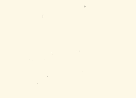 CC(NC(=O)OC(C)(C)C)c1c(F)cc(F)cc1OCc1ccccc1